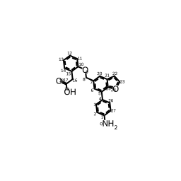 Nc1ccc(-c2cc(COc3ccccc3CC(=O)O)cc3ccoc23)cc1